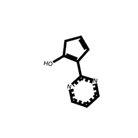 OC1=C(c2ncccn2)C=CC1